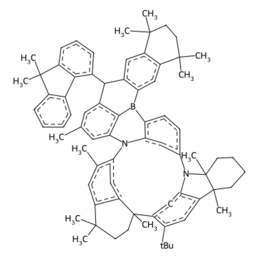 Cc1cc2c3c(c1)N1c4cc5c(cc4C)C(C)(C)CCC5(C)c4cc5c(cc4C(C)(C)C)C4(C)CCCCC4(C)N5c4ccc(c1c4)B3c1cc3c(cc1C2c1cccc2c1-c1ccccc1C2(C)C)C(C)(C)CCC3(C)C